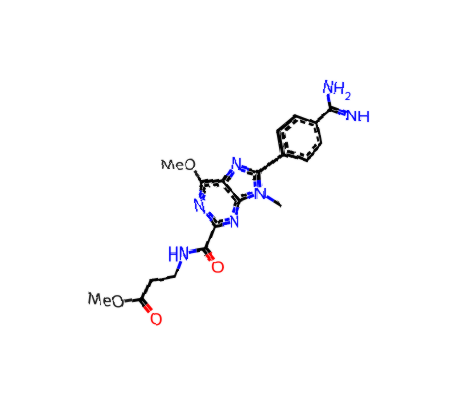 COC(=O)CCNC(=O)c1nc(OC)c2nc(-c3ccc(C(=N)N)cc3)n(C)c2n1